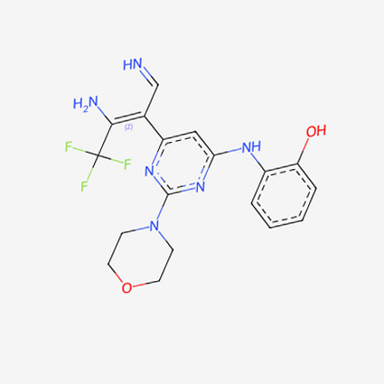 N=C/C(=C(\N)C(F)(F)F)c1cc(Nc2ccccc2O)nc(N2CCOCC2)n1